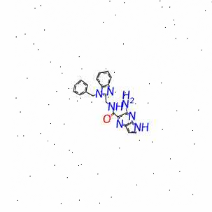 Nc1nc2[nH]ccc2nc1C(=O)NCc1nc2ccccc2n1Cc1ccccc1